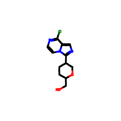 OCC1CCC(c2ncc3c(Cl)nccn23)CO1